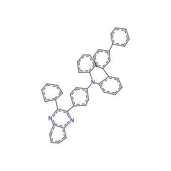 c1ccc(-c2cccc(-c3ccccc3N(c3ccccc3)c3ccc(-c4nc5ccccc5nc4-c4ccccc4)cc3)c2)cc1